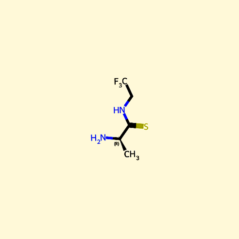 C[C@@H](N)C(=S)NCC(F)(F)F